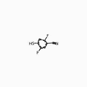 N#Cc1cc(F)c(S)cc1F